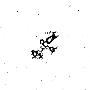 NC(=O)c1cc(-c2cccnc2C(Cc2cc(F)cc(F)c2)NC(=O)Cn2nc3c(c2C(F)(F)F)C(F)(F)C2CC32)ccc1F